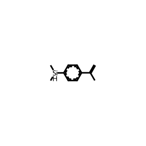 C=C(C)c1ccc([SiH](C)C)cc1